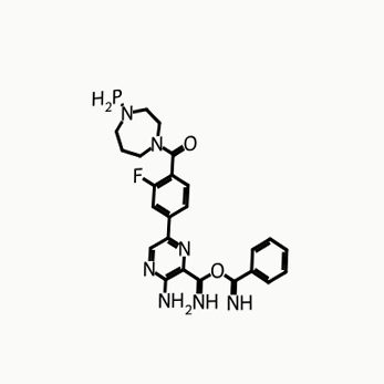 N=C(OC(=N)c1nc(-c2ccc(C(=O)N3CCCN(P)CC3)c(F)c2)cnc1N)c1ccccc1